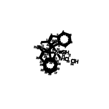 CC1=Cc2ccccc2[C]1(CC(C)C)[Zr]([CH3])(=[SiH2])([c]1ccccc1)[C]1(CC(C)C)C(C)=Cc2ccccc21.Cl.Cl